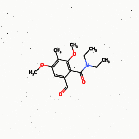 CCN(CC)C(=O)c1c(C=O)cc(OC)c(C)c1OC